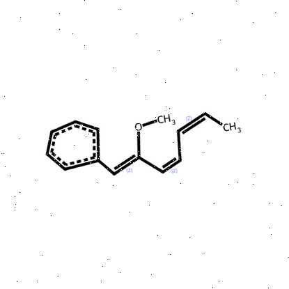 C\C=C/C=C\C(=C\c1ccccc1)OC